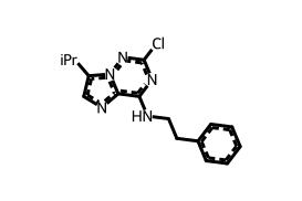 CC(C)c1cnc2c(NCCc3ccccc3)nc(Cl)nn12